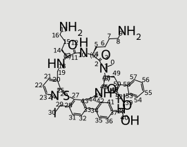 CN1C(=O)[C@H](CCCCN)NC(=O)[C@H](CCCN)NCc2cccnc2Sc2c(CI)ccc(-c3ccc(C(=O)O)cc3)c2CNC(=O)[C@@H]1Cc1c[nH]c2ccccc12